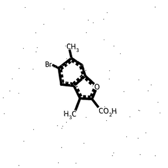 Cc1cc2oc(C(=O)O)c(C)c2cc1Br